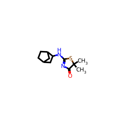 CC1(C)SC(NC2CC3CCC2C3)=NC1=O